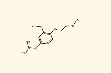 CCOCCOc1ccc(OB(O)O)cc1OCC